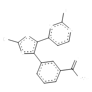 CCc1nc(-c2cccc(C(=O)OC)c2)c(-c2ccnc(Cl)n2)s1